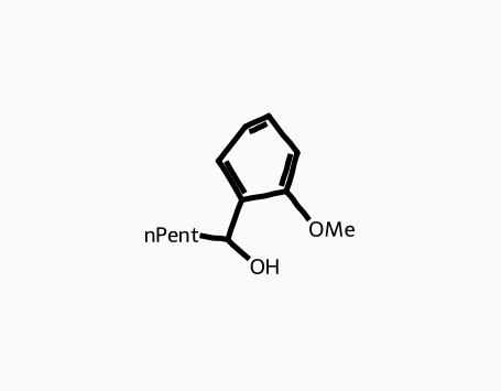 CCCCCC(O)c1ccccc1OC